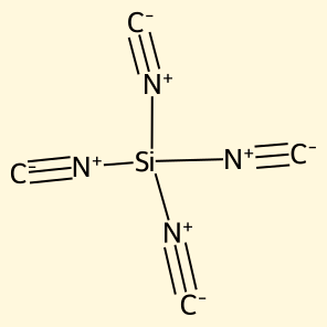 [C-]#[N+][Si]([N+]#[C-])([N+]#[C-])[N+]#[C-]